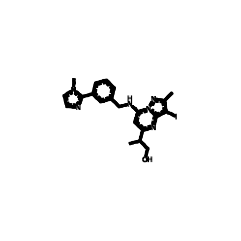 Cc1nn2c(NCc3cccc(-c4nccn4C)c3)cc(C(C)CO)nc2c1I